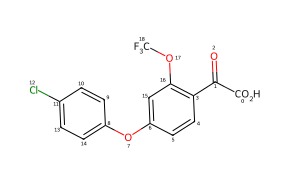 O=C(O)C(=O)c1ccc(Oc2ccc(Cl)cc2)cc1OC(F)(F)F